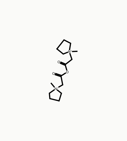 C[N+]1(CC(=O)OC(=O)C[N+]2(C)CCCC2)CCCC1